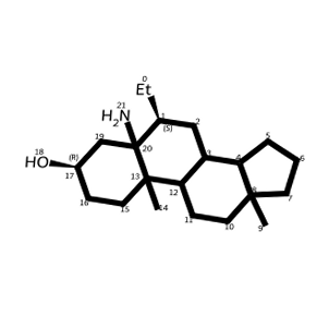 CC[C@H]1CC2C3CCCC3(C)CCC2C2(C)CC[C@@H](O)CC12N